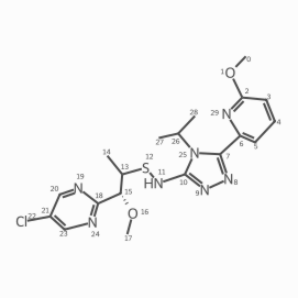 COc1cccc(-c2nnc(NSC(C)[C@H](OC)c3ncc(Cl)cn3)n2C(C)C)n1